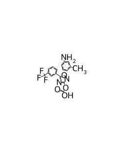 Cc1cccc(N)c1.O=C(O)Oc1noc(-c2cccc(C(F)(F)F)c2)n1